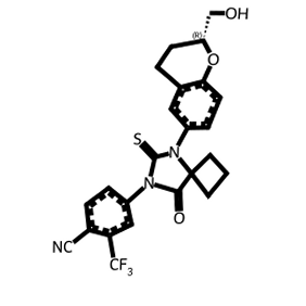 N#Cc1ccc(N2C(=O)C3(CCC3)N(c3ccc4c(c3)CC[C@H](CO)O4)C2=S)cc1C(F)(F)F